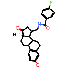 C[C@]12CCC3c4ccc(O)cc4CCC3C1C(CNC(=O)c1ccc(F)cc1)CC2=O